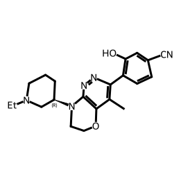 CCN1CCC[C@@H](N2CCOc3c2nnc(-c2ccc(C#N)cc2O)c3C)C1